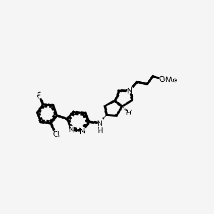 COCCCN1CC2C[C@@H](Nc3ccc(-c4cc(F)ccc4Cl)nn3)C[C@@H]2C1